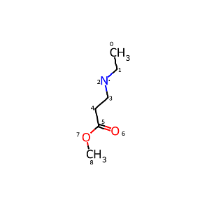 CC[N]CCC(=O)OC